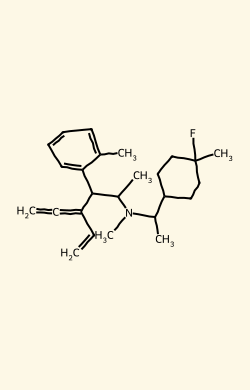 C=C=C(C=C)C(c1ccccc1C)C(C)N(C)C(C)C1CCC(C)(F)CC1